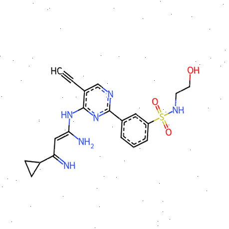 C#Cc1cnc(-c2cccc(S(=O)(=O)NCCO)c2)nc1N/C(N)=C/C(=N)C1CC1